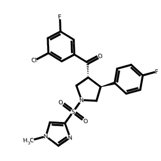 Cn1cnc(S(=O)(=O)N2C[C@H](C(=O)c3cc(F)cc(Cl)c3)[C@@H](c3ccc(F)cc3)C2)c1